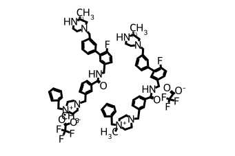 C[C@H]1CN(Cc2cccc(-c3cc(CNC(=O)c4cccc(CN5CC[N+](C)(Cc6ccccc6)CC5)c4)ccc3F)c2)CCN1.C[C@H]1CN(Cc2cccc(-c3cc(CNC(=O)c4cccc(CN5CC[N+](C)(Cc6ccccc6)CC5)c4)ccc3F)c2)CCN1.O=C([O-])C(F)(F)F.O=C([O-])C(F)(F)F